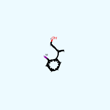 CC(CO)c1ccccc1I